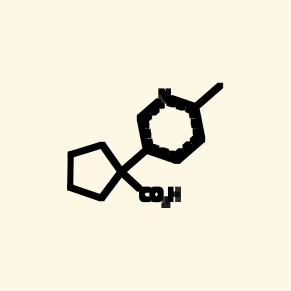 Cc1ccc(C2(C(=O)O)CCCC2)cn1